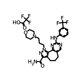 NC(=O)c1nn(CCCN2CCOCC2)c2c1CCCc1cnc(Nc3cccc(C(F)(F)F)c3)nc1-2.O=C(O)C(F)(F)F